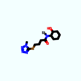 CCN(C(=O)CCCSc1nnnn1C)C1CCCCC1O